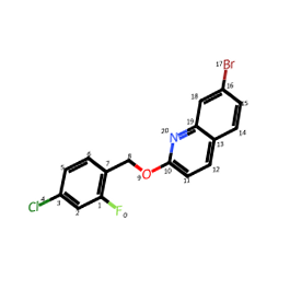 Fc1cc(Cl)ccc1COc1ccc2ccc(Br)cc2n1